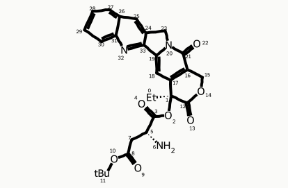 CC[C@@]1(OC(=O)[C@H](N)CC(=O)OC(C)(C)C)C(=O)OCc2c1cc1n(c2=O)Cc2cc3ccccc3nc2-1